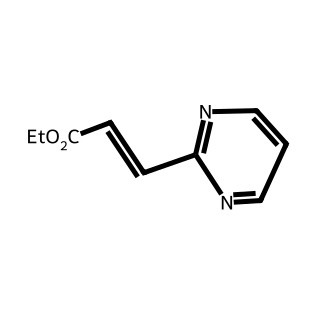 CCOC(=O)/C=C/c1ncccn1